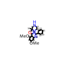 COc1cc(OC)c2c(=O)n(N3CCNCC3(C)C)c(-c3ccccc3)nc2c1